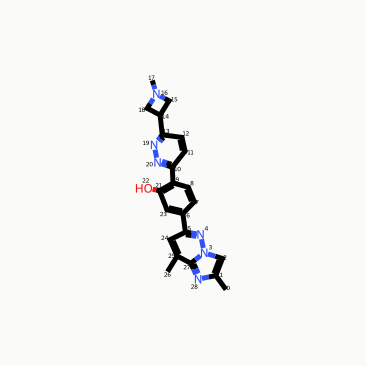 Cc1cn2nc(-c3ccc(-c4ccc(C5CN(C)C5)nn4)c(O)c3)cc(C)c2n1